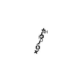 CC(C)(C)CN1CCN(CCCOc2ccc(CNC(C)(C)C)cn2)CC1